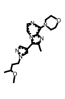 COC(C)CCn1cc(-c2c(C)nc3c(N4CCOCC4)nccn23)cn1